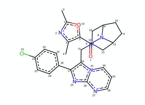 Cc1nc(C)c(C(=O)N2C3CCC2CN(Cc2c(-c4ccc(Cl)cc4)nc4ncccn24)C3)o1